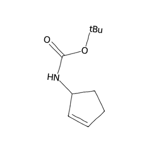 CC(C)(C)OC(=O)NC1C=CCC1